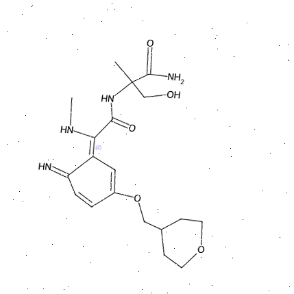 CN/C(C(=O)NC(C)(CO)C(N)=O)=C1/C=C(OCC2CCOCC2)C=CC1=N